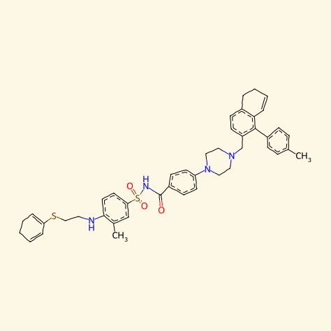 Cc1ccc(-c2c(CN3CCN(c4ccc(C(=O)NS(=O)(=O)c5ccc(NCCSC6=CCCC=C6)c(C)c5)cc4)CC3)ccc3c2C=CCC3)cc1